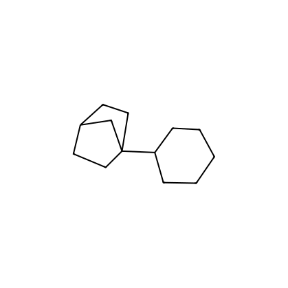 C1CCC(C23CCC(CC2)C3)CC1